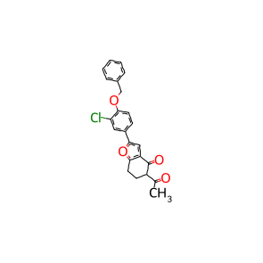 CC(=O)C1CCc2oc(-c3ccc(OCc4ccccc4)c(Cl)c3)cc2C1=O